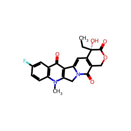 CC[C@@]1(O)C(=O)OCc2c1cc1n(c2=O)Cc2c-1c(=O)c1cc(F)ccc1n2C